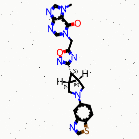 Cn1cnc2ncn(Cc3nc([C@@H]4[C@@H]5CN(c6ccc7scnc7c6)C[C@@H]54)no3)c(=O)c21